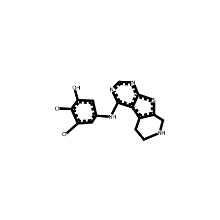 Oc1cc(Nc2ncnc3sc4c(c23)CCNC4)cc(Cl)c1Cl